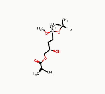 C=C(C)C(=O)OCC(O)CC[Si](C)(OC)O[Si](C)(C)C